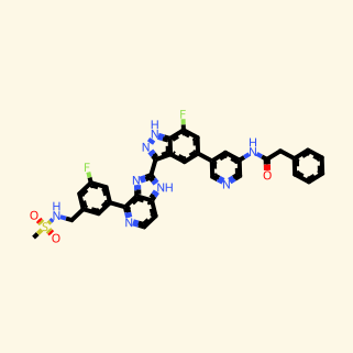 CS(=O)(=O)NCc1cc(F)cc(-c2nccc3[nH]c(-c4n[nH]c5c(F)cc(-c6cncc(NC(=O)Cc7ccccc7)c6)cc45)nc23)c1